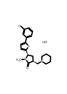 CN1C(=O)[C@H](CN2CCCCC2)C[C@@H]1c1ccc(-c2cccc(Cl)c2)s1.Cl